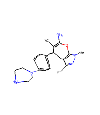 CC(C)c1nn(C(C)(C)C)c2c1C(c1ccc(N3CCNCC3)cc1)C(C#N)=C(N)O2